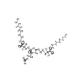 CCCCCCCCCCOC(=O)C(C)(C)CCCCC(CCCCC(C)(C)C(=O)OCCCCCCCCCC)CC(=O)CCCN(C)C